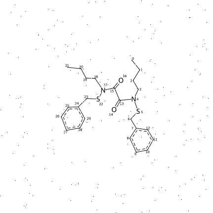 CCCCN(SCc1ccccc1)C(=O)C(=O)N(CCCC)SCc1ccccc1